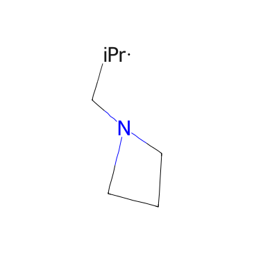 C[C](C)CN1CCC1